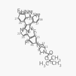 CC(C)(C)OC(=O)N1CC2CC1CN2c1cc(F)c(-c2ccnc3c(-c4ccc(F)c5[nH]ncc45)c(-c4ccncc4)nn23)c(F)c1